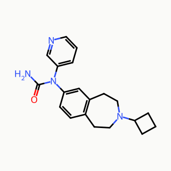 NC(=O)N(c1cccnc1)c1ccc2c(c1)CCN(C1CCC1)CC2